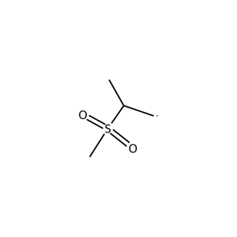 [CH2]C(C)S(C)(=O)=O